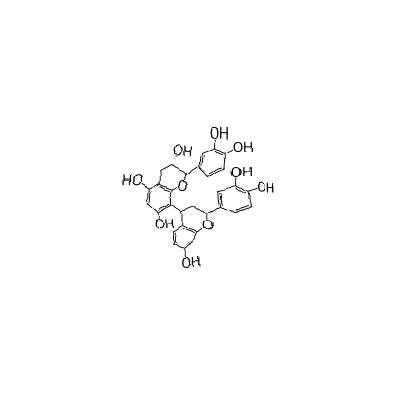 Oc1ccc2c(c1)OC(c1ccc(O)c(O)c1)CC2c1c(O)cc(O)c2c1OC(c1ccc(O)c(O)c1)[C@@H](O)C2